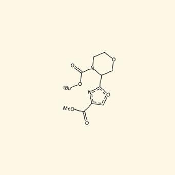 COC(=O)c1coc(C2COCCN2C(=O)OC(C)(C)C)n1